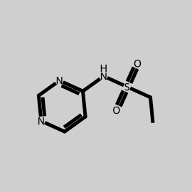 CCS(=O)(=O)Nc1ccncn1